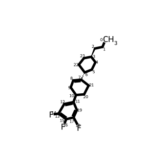 CCC[C@H]1CC[C@H](C2=CCC(c3cc(F)c(F)c(F)c3)CC2)CC1